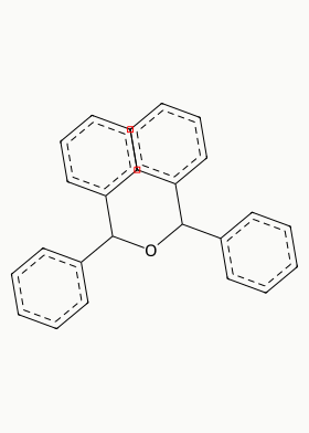 c1ccc(C(OC(c2ccccc2)c2ccccc2)c2ccccc2)cc1